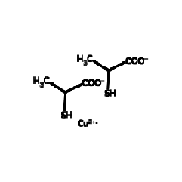 CC(S)C(=O)[O-].CC(S)C(=O)[O-].[Cu+2]